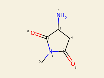 CN1C(=O)CC(N)C1=O